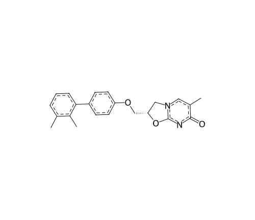 Cc1cccc(-c2ccc(OC[C@@H]3Cn4cc(C)c(=O)nc4O3)cc2)c1C